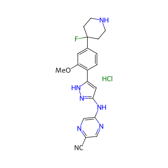 COc1cc(C2(F)CCNCC2)ccc1-c1cc(Nc2cnc(C#N)cn2)n[nH]1.Cl